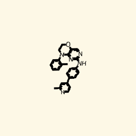 Cc1cc(-c2ccc(Nc3ncc4c(n3)N(c3ccccc3C)CCO4)cc2)ccn1